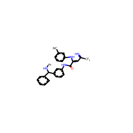 CC(C)NC(c1ccccc1)c1cccc(NC(=O)/C(=C/C(=N)C(F)(F)F)Nc2cccc(C#N)c2)c1